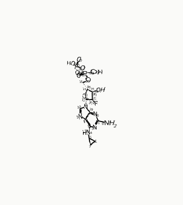 Nc1nc(NC2CC2)c2ncn([C@@H]3O[C@H](COP(=O)(O)OP(=O)(O)O)[C@@H](O)[C@H]3F)c2n1